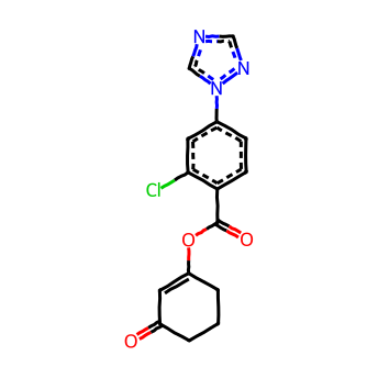 O=C1C=C(OC(=O)c2ccc(-n3cncn3)cc2Cl)CCC1